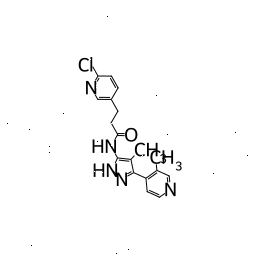 Cc1cnccc1-c1n[nH]c(NC(=O)CCc2ccc(Cl)nc2)c1C